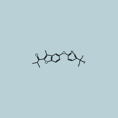 Cc1c(C(=O)C(C)C)oc2ccc(Oc3ccc(C(F)(F)F)cn3)cc12